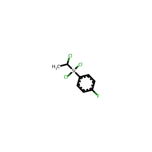 CC(Cl)[Si](Cl)(Cl)c1ccc(F)cc1